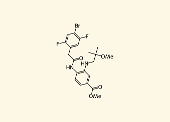 COC(=O)c1ccc(NC(=O)Cc2cc(F)c(Br)cc2F)c(NCC(C)(C)OC)c1